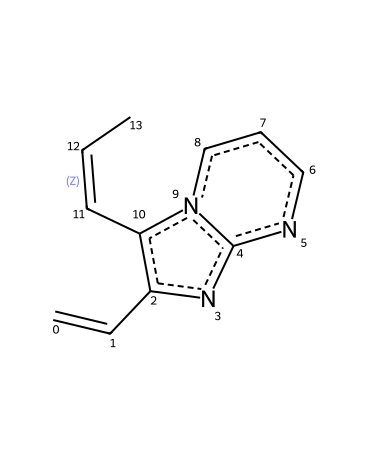 C=Cc1nc2ncccn2c1/C=C\C